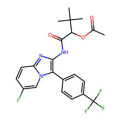 CC(=O)OC(C(=O)Nc1nc2ccc(F)cn2c1-c1ccc(C(F)(F)F)cc1)C(C)(C)C